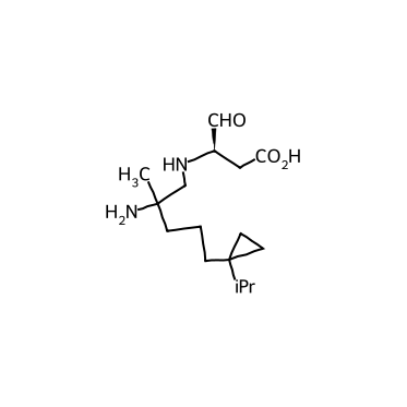 CC(C)C1(CCCC(C)(N)CN[C@@H](C=O)CC(=O)O)CC1